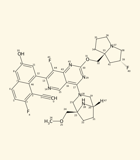 C#Cc1c(F)ccc2cc(O)cc(-c3ncc4c(N5C[C@@H]6CC[C@](COC)(C5)N6)nc(OC[C@@]56CCCN5C[C@H](F)C6)nc4c3F)c12